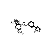 Cn1nccc1-c1cccc(COc2cc(N)nc3[nH]nnc23)c1